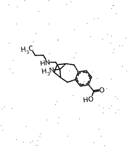 CCCNCC1(N)C2CCC1Cc1cc(C(=O)O)ccc1C2